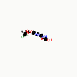 C[C@@]1(c2ccc(Cl)cc2Cl)OC[C@@H](COc2ccc(N3CCN(c4ccc(NC(=O)c5ccc(O)cc5)cc4)CC3)cc2)O1